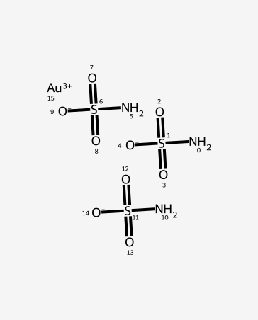 NS(=O)(=O)[O-].NS(=O)(=O)[O-].NS(=O)(=O)[O-].[Au+3]